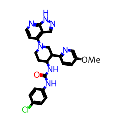 COc1ccc(C2CN(c3ccnc4[nH]ncc34)CCC2NC(=O)Nc2ccc(Cl)cc2)nc1